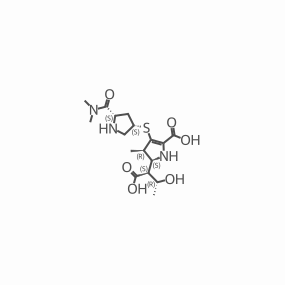 C[C@@H](O)[C@@H](C(=O)O)[C@@H]1NC(C(=O)O)=C(S[C@@H]2CN[C@H](C(=O)N(C)C)C2)[C@@H]1C